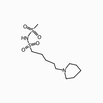 CS(=O)(=O)NS(=O)(=O)CCCCCN1CCCCC1